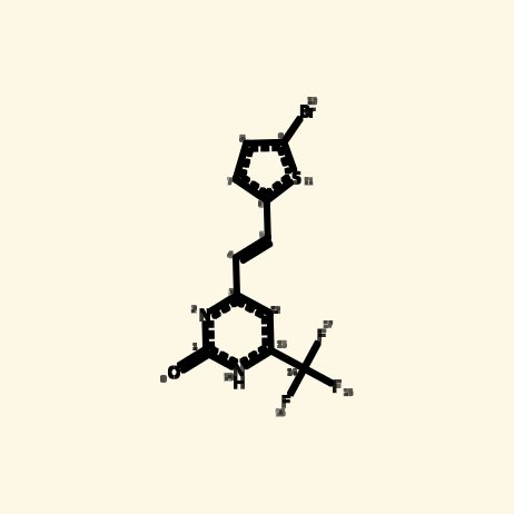 O=c1nc(C=Cc2ccc(Br)s2)cc(C(F)(F)F)[nH]1